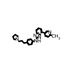 Cc1ccc(-c2cccc3nc(Nc4ccc(CCCN5CCCC5)cc4)nn23)cn1